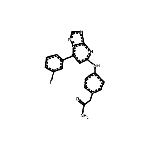 NC(=O)Cc1ccc(Nc2cc(-c3cccc(F)c3)n3ncnc3n2)cc1